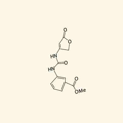 COC(=O)c1cccc(NC(=O)NC2=CC(=O)OC2)c1